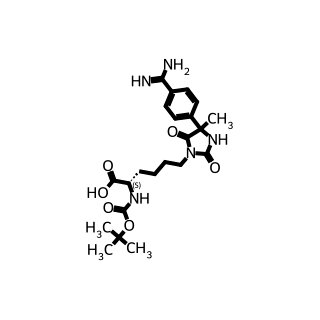 CC(C)(C)OC(=O)N[C@@H](CCCCN1C(=O)NC(C)(c2ccc(C(=N)N)cc2)C1=O)C(=O)O